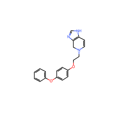 C1=CN(CCOc2ccc(Oc3ccccc3)cc2)Cc2nc[nH]c21